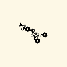 O=C(NC1CC1)c1ccc(-c2csc(NC(=O)[C@@H]3Cc4ccccc4N3C(=O)OCc3ccccc3)n2)cc1